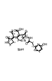 O=C(CSc1nccc(O)n1)N[C@@H]1C(=O)N2C(C(=O)O)=C(C(=C3CCNC3=O)C3CC3)CS[C@H]12.[NaH]